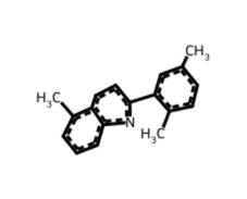 Cc1ccc(C)c(-c2ccc3c(C)cccc3n2)c1